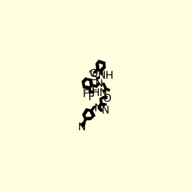 COc1ccccc1NC(=S)N(Cc1ccccc1C(F)(F)F)CC(C)NC(=O)Cc1cncn1Cc1ccc(C#N)cc1